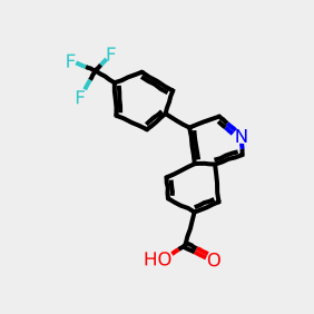 O=C(O)c1ccc2c(-c3ccc(C(F)(F)F)cc3)cncc2c1